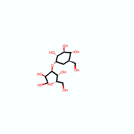 OC[C@H]1C[C@H](O[C@@H]([C@H](O)[C@@H](O)CO)[C@H](O)CO)[C@H](O)[C@@H](O)[C@@H]1O